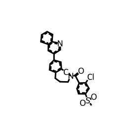 CS(=O)(=O)c1ccc(C(=O)N2CCCc3ccc(-c4cnc5ccccc5c4)cc3C2)c(Cl)c1